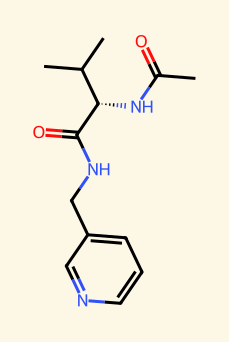 CC(=O)N[C@H](C(=O)NCc1cccnc1)C(C)C